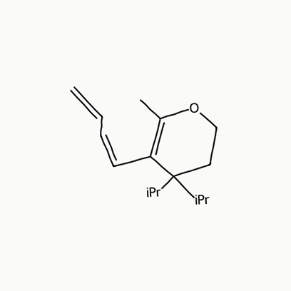 C=C/C=C\C1=C(C)OCCC1(C(C)C)C(C)C